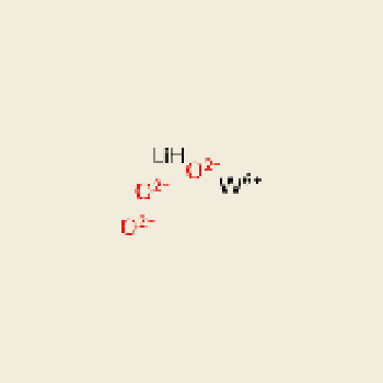 [LiH].[O-2].[O-2].[O-2].[W+6]